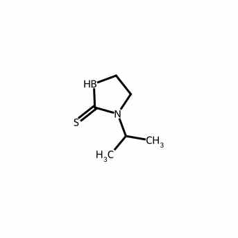 CC(C)N1CCBC1=S